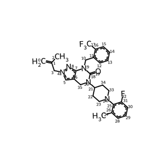 C=C(C)Cn1cc2c(n1)N(Cc1ccccc1C(F)(F)F)C(=O)N(C1CCN(c3c(C)cccc3F)CC1)C2